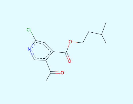 CC(=O)c1cnc(Cl)cc1C(=O)OCCC(C)C